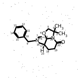 CC1(C)CO[C@]23CCN(Cc4ccccc4)C[C@H]2CCC(=O)N13